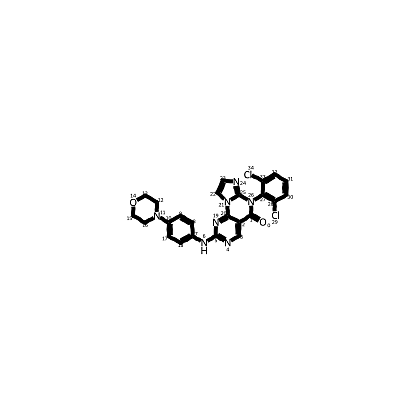 O=c1c2cnc(Nc3ccc(N4CCOCC4)cc3)nc2n2ccnc2n1-c1c(Cl)cccc1Cl